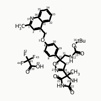 Cc1cc(COc2ccc(C3(CNC(=O)OC(C)(C)C)CC(C4(C)NC(=O)NC4=O)=NO3)cc2)c2ccccc2n1.O=C(O)C(F)(F)F